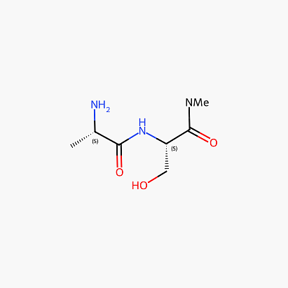 CNC(=O)[C@H](CO)NC(=O)[C@H](C)N